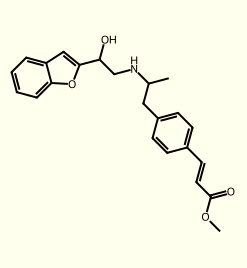 COC(=O)C=Cc1ccc(CC(C)NCC(O)c2cc3ccccc3o2)cc1